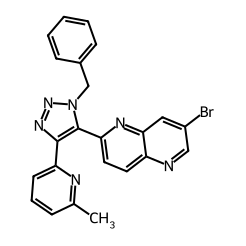 Cc1cccc(-c2nnn(Cc3ccccc3)c2-c2ccc3ncc(Br)cc3n2)n1